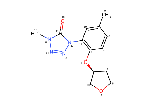 Cc1ccc(O[C@H]2CCOC2)c(-n2nnn(C)c2=O)c1